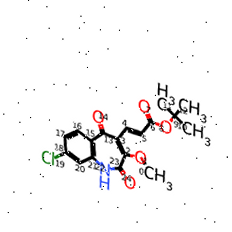 COc1c(C=CC(=O)OC(C)(C)C)c(=O)c2ccc(Cl)cc2[nH]c1=O